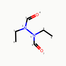 CCN(C=O)N(C=O)CC